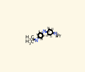 CC(C)=Nc1ccc(N=C2C=CC(=NC(C)C)C=C2)cc1